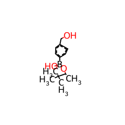 CC(OB(O)c1ccc(CO)cc1)C(C)(C)C